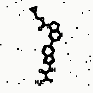 CN(F)C(=O)Nc1cn2cc(-c3cnc4c(c3)N(C(=O)OCC3CC3)CC4)ccc2n1